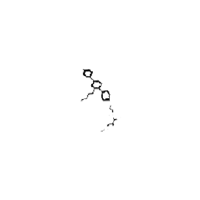 C=C(COCO)C(=O)OCCOc1ccc(-c2ccc(-c3ccc(O)cc3)cc2CCCCF)cc1